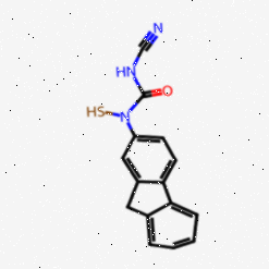 N#CNC(=O)N(S)c1ccc2c(c1)Cc1ccccc1-2